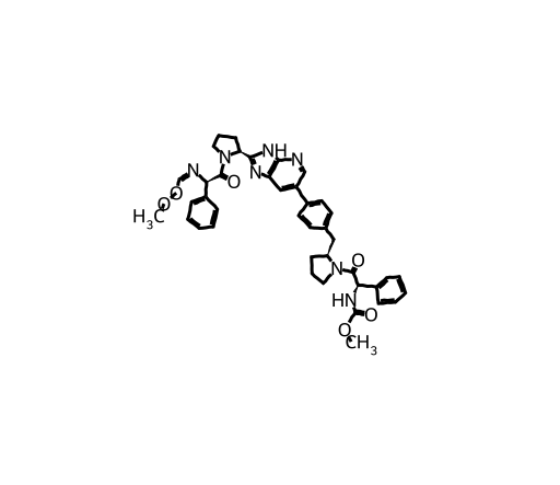 COO/C=N\[C@@H](C(=O)N1CCC[C@H]1c1nc2cc(-c3ccc(C[C@@H]4CCCN4C(=O)[C@H](NC(=O)OC)c4ccccc4)cc3)cnc2[nH]1)c1ccccc1